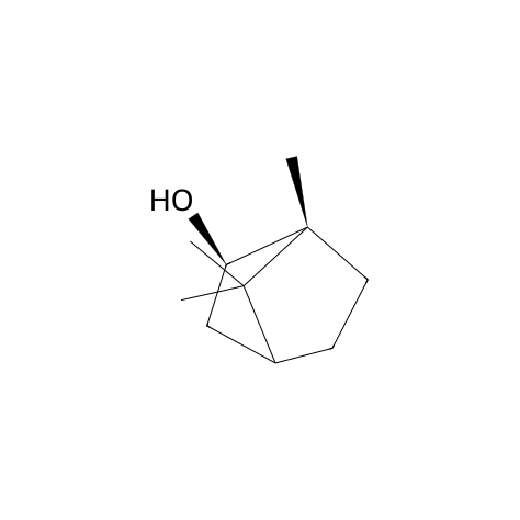 CC1(C)C2CC[C@@]1(C)[C@H](O)C2